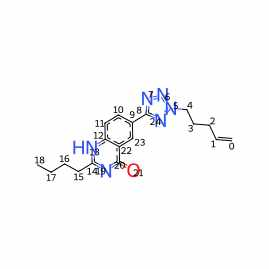 C=CCCCn1nnc(-c2ccc3[nH]c(CCCC)nc(=O)c3c2)n1